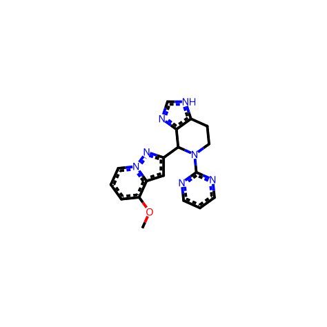 COc1cccn2nc(C3c4nc[nH]c4CCN3c3ncccn3)cc12